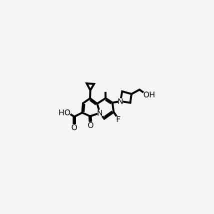 Cc1c(N2CC(CO)C2)c(F)cn2c(=O)c(C(=O)O)cc(C3CC3)c12